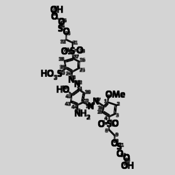 COc1ccc(S(=O)(=O)CCOSOOO)cc1/N=N/c1cc(/N=N/c2ccc(S(=O)(=O)CCOSOOO)cc2S(=O)(=O)O)c(O)cc1N